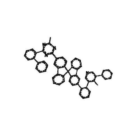 Cc1nc(-c2ccc3c(c2)-c2ccccc2C32c3ccccc3-c3cc(-c4ccccc4-c4cncc(-c5ccccc5)c4C)ccc32)nc(-c2ccccc2-c2ccccc2)n1